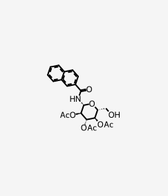 CC(=O)O[C@@H]1[C@@H](OC(C)=O)[C@H](NC(=O)c2ccc3ccccc3c2)O[C@H](CO)[C@H]1OC(C)=O